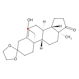 C[C@]12CC[C@H]3[C@@H](CC=C4CC5(CC[C@@]43CCO)OCCO5)[C@@H]1CCC2=O